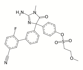 COCCS(=O)(=O)Oc1ccc(C2(c3cccc(-c4cc(C#N)ccc4F)c3)N=C(N)N(C)C2=O)cc1